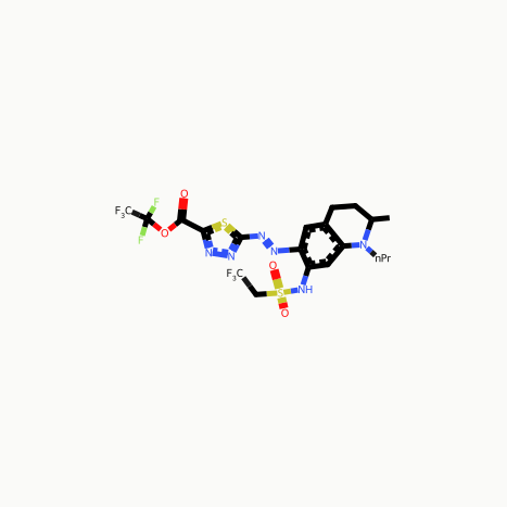 CCCN1c2cc(NS(=O)(=O)CC(F)(F)F)c(N=Nc3nnc(C(=O)OC(F)(F)C(F)(F)F)s3)cc2CCC1C